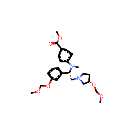 COCOc1cccc([C@@H](CN2CC[C@H](OCOC)C2)N(C)c2ccc(C(=O)OC)cc2)c1